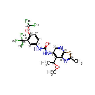 COC(C)c1c(NC(=O)Nc2ccc(OC(F)F)c(C(F)(F)F)c2)cnc2sc(C)nc12